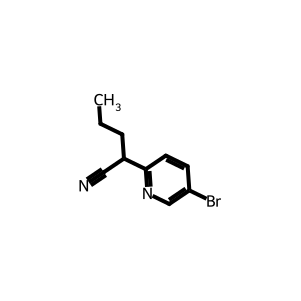 CCCC(C#N)c1ccc(Br)cn1